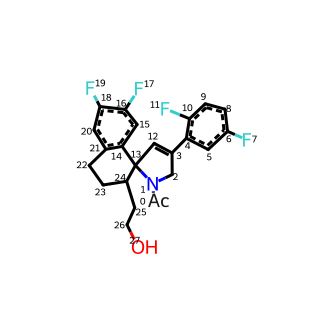 CC(=O)N1CC(c2cc(F)ccc2F)=CC12c1cc(F)c(F)cc1CCC2CCO